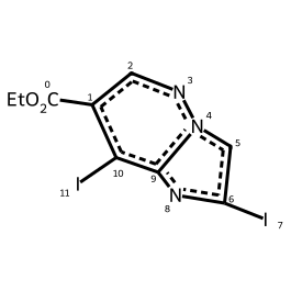 CCOC(=O)c1cnn2cc(I)nc2c1I